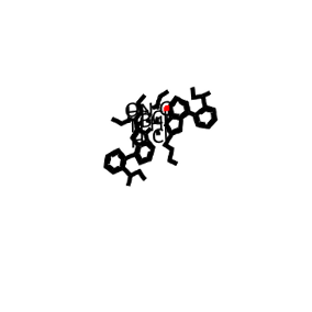 CCCCC1=Cc2c(-c3ccccc3C(C)CC)cccc2[CH]1[Hf]([Cl])([Cl])([B](NC(=O)CC)NC(=O)CC)[CH]1C(CCCC)=Cc2c(-c3ccccc3C(C)CC)cccc21